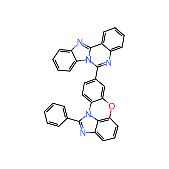 c1ccc(-c2nc3cccc4c3n2-c2ccc(-c3nc5ccccc5c5nc6ccccc6n35)cc2O4)cc1